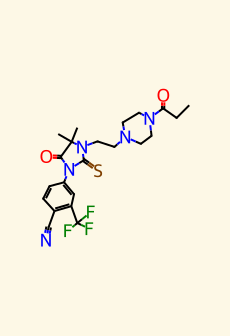 CCC(=O)N1CCN(CCN2C(=S)N(c3ccc(C#N)c(C(F)(F)F)c3)C(=O)C2(C)C)CC1